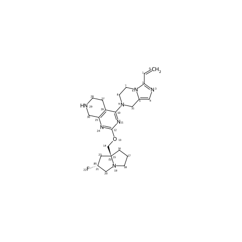 C=Cc1ncc2n1CCN(c1nc(OC[C@@]34CCCN3C[C@H](F)C4)nc3c1CCNC3)C2